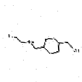 CCNCC1CCC(CO)CC1